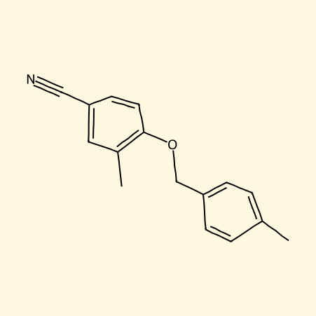 Cc1ccc(COc2ccc(C#N)cc2C)cc1